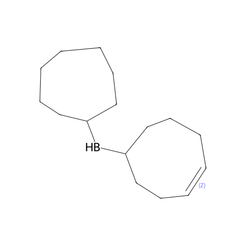 B(C1CC/C=C\CCC1)C1CCCCCCC1